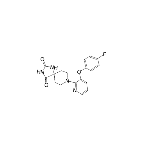 O=C1NC(=O)C2(CCN(c3ncccc3Oc3ccc(F)cc3)CC2)N1